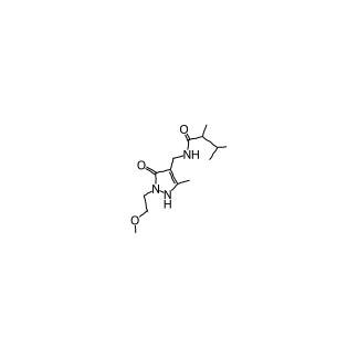 COCCn1[nH]c(C)c(CNC(=O)C(C)C(C)C)c1=O